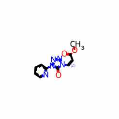 COC(=O)/C=C\n1nnn(-c2ccccn2)c1=O